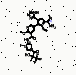 C=Nn1c(/C(N)=N\C)cc(-c2nnn[nH]2)c1-c1cnc(OC)c(C(=O)N[C@@H]2CN(C(=O)[C@@](C)(O)C(F)(F)F)C[C@@H]2F)c1